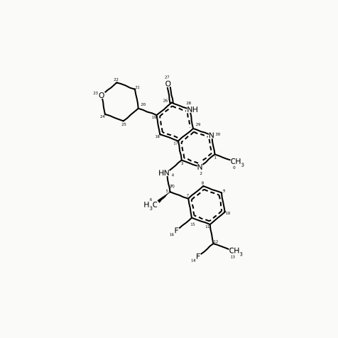 Cc1nc(N[C@H](C)c2cccc(C(C)F)c2F)c2cc(C3CCOCC3)c(=O)[nH]c2n1